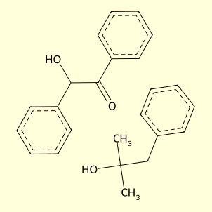 CC(C)(O)Cc1ccccc1.O=C(c1ccccc1)C(O)c1ccccc1